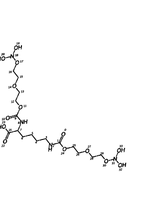 O=C(NCCCCC(NC(=O)OCCOCCON(O)O)C(=O)O)OCCOCCON(O)O